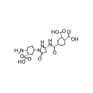 Nc1ccc(-n2[nH]c(NC(=O)c3ccc(C(=O)O)c(C(=O)O)c3)cc2=O)cc1S(=O)(=O)O